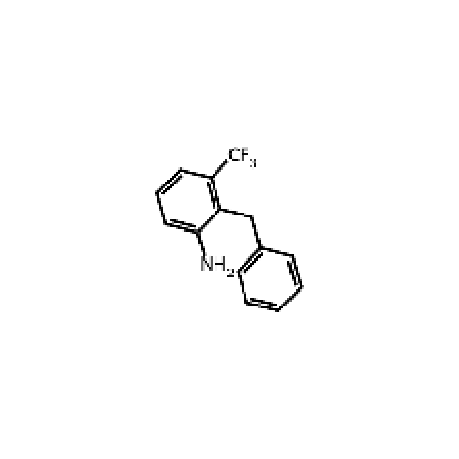 Nc1cccc(C(F)(F)F)c1Cc1ccccc1